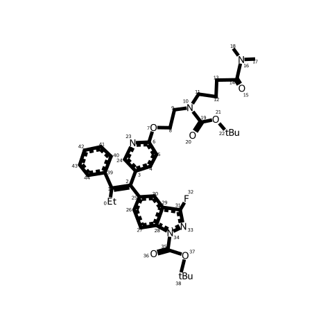 CC/C(=C(/c1ccc(OCCN(CCCC(=O)N(C)C)C(=O)OC(C)(C)C)nc1)c1ccc2c(c1)c(F)nn2C(=O)OC(C)(C)C)c1ccccc1